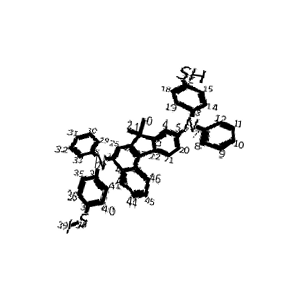 CC1(C)c2cc(N(c3ccccc3)c3ccc(S)cc3)ccc2-c2c1cc(N(c1ccccc1)c1ccc(SI)cc1)c1ccccc21